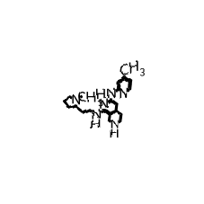 Cc1ccnc(Nc2cc3c(c(NCCC4CCCN4C)n2)CNC=C3)c1